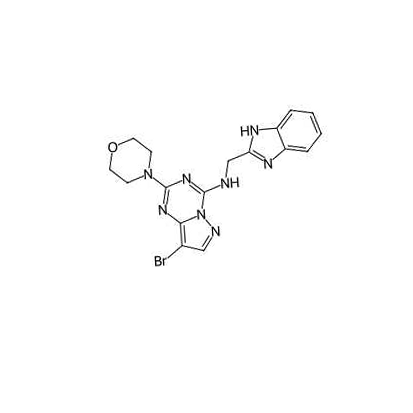 Brc1cnn2c(NCc3nc4ccccc4[nH]3)nc(N3CCOCC3)nc12